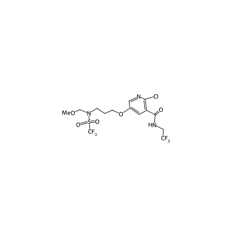 COCN(CCCOc1cnc(Cl)c(C(=O)NCC(F)(F)F)c1)S(=O)(=O)C(F)(F)F